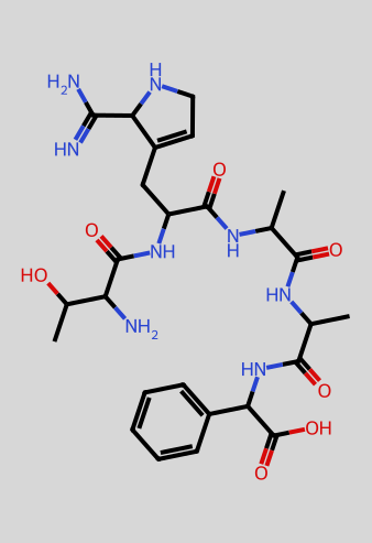 CC(NC(=O)C(C)NC(=O)C(CC1=CCNC1C(=N)N)NC(=O)C(N)C(C)O)C(=O)NC(C(=O)O)c1ccccc1